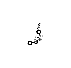 CCOCc1ccc(NC(=O)Nc2ccc(-c3ccccc3)o2)cc1